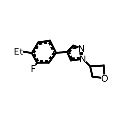 CCc1ccc(-c2cnn(C3COC3)c2)cc1F